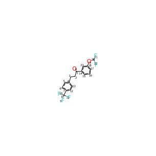 O=C(CCc1ccc(C(F)(F)F)cc1)c1cccc(OC(F)F)c1